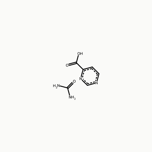 NC(N)=O.O=C(O)c1ccncn1